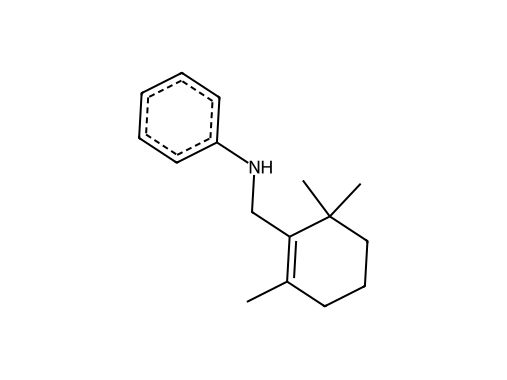 CC1=C(CNc2ccccc2)C(C)(C)CCC1